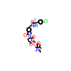 CCN(C)C(C)(C(=O)OCN1C(=O)CCC(N2Cc3cc(CNC(=O)C(F)(F)c4ccc(Cl)cc4)ccc3C2=O)C1=O)C(C)C